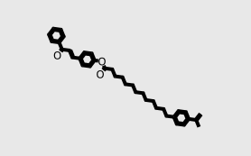 C=C(C)c1ccc(CCCCCCCCCCCCC(=O)Oc2ccc(C=CC(=O)c3ccccc3)cc2)cc1